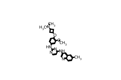 COc1cc(Nc2nccc(Nc3cnc4ccc(C)cc4c3)n2)ccc1OC1CC(N(C)C)C1